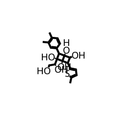 Cc1ccc(C2C(O)[C@@]3(O)C(c4ccc(C)c(C)c4)[C@@](O)([C@H](O)CO)[C@@]23O)s1